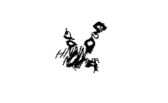 CC(C)(OI)[C@H]1CC[C@H](Nc2ncc3nc(Nc4ccc(F)cc4F)n([C@H]4CC[C@@H](COCCN5CCCCC5)CC4)c3n2)CC1